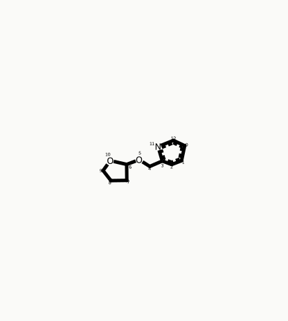 c1ccc(COC2CCCO2)nc1